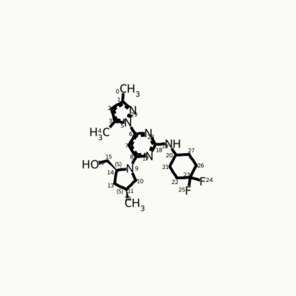 Cc1cc(C)n(-c2cc(N3C[C@@H](C)C[C@H]3CO)nc(NC3CCC(F)(F)CC3)n2)n1